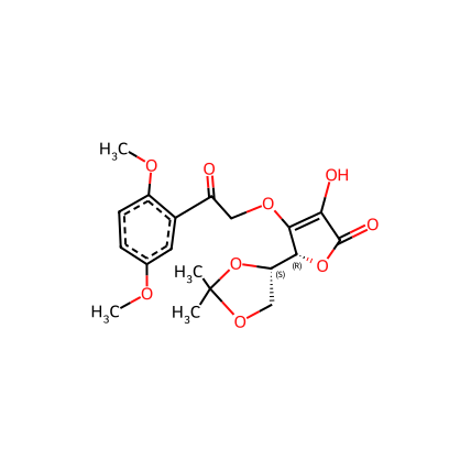 COc1ccc(OC)c(C(=O)COC2=C(O)C(=O)O[C@@H]2[C@@H]2COC(C)(C)O2)c1